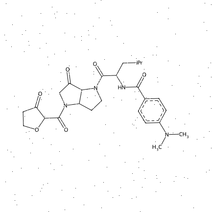 CC(C)CC(NC(=O)c1ccc(N(C)C)cc1)C(=O)N1CCC2C1C(=O)CN2C(=O)C1OCCC1=O